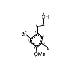 COc1cc(Br)c(CCO)cc1C